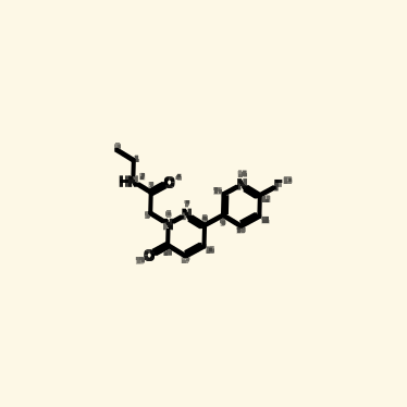 CCNC(=O)Cn1nc(-c2ccc(F)nc2)ccc1=O